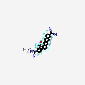 C/N=C/C(C#N)=c1/c(F)c(F)c2c(c1F)C(C(F)(F)F)(C(F)(F)F)c1c=2c(F)c(F)c2c(F)c3c(F)c4c(F)c(=C(C#N)C#N)c(F)c(F)c4c(F)c3c(F)c12